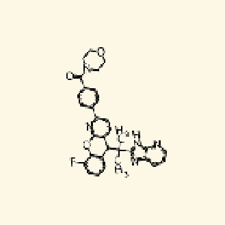 CC(C)(c1nc2cccnc2[nH]1)C1c2ccc(-c3ccc(C(=O)N4CCOCC4)cc3)nc2Oc2c(F)cccc21